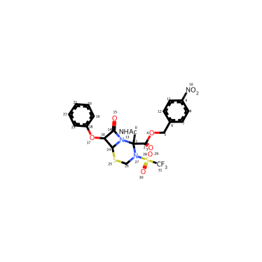 CC(=O)NC1(C(=O)OCc2ccc([N+](=O)[O-])cc2)N2C(=O)C(Oc3ccccc3)C2SCN1S(=O)(=O)C(F)(F)F